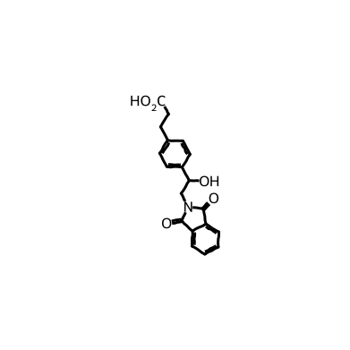 O=C(O)CCc1ccc(C(O)CN2C(=O)c3ccccc3C2=O)cc1